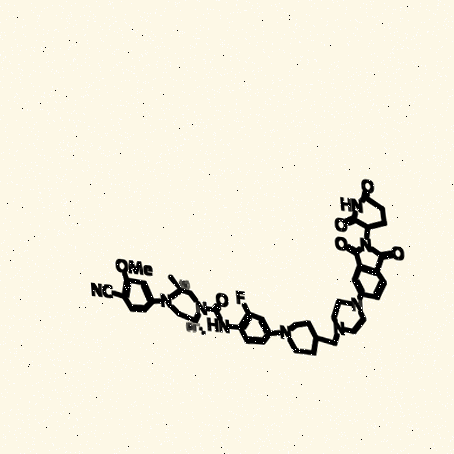 COc1cc(N2C[C@@H](C)N(C(=O)Nc3ccc(N4CCC(CN5CCN(c6ccc7c(c6)C(=O)N(C6CCC(=O)NC6=O)C7=O)CC5)CC4)cc3F)C[C@@H]2C)ccc1C#N